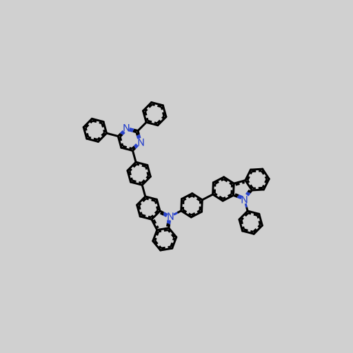 c1ccc(-c2cc(-c3ccc(-c4ccc5c6ccccc6n(-c6ccc(-c7ccc8c9ccccc9n(-c9ccccc9)c8c7)cc6)c5c4)cc3)nc(-c3ccccc3)n2)cc1